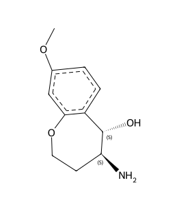 COc1ccc2c(c1)OCC[C@H](N)[C@H]2O